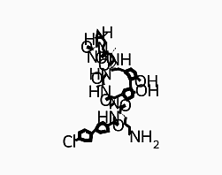 C[C@@H]1NC(=O)[C@@H](N(C)C(=O)[C@H](CCCCN)NC(=O)c2ccc(-c3ccc(Cl)cc3)cc2)c2ccc(O)c(c2)-c2cc(ccc2O)C[C@@H](C(=O)N[C@@H](C)C(=O)N2C[C@H]3C[C@H]3[C@H]2C(N)=O)NC1=O